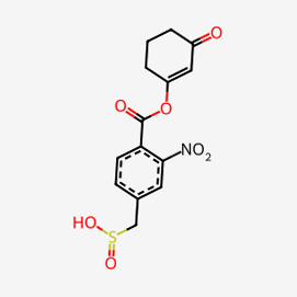 O=C1C=C(OC(=O)c2ccc(CS(=O)O)cc2[N+](=O)[O-])CCC1